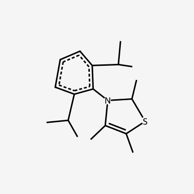 CC1=C(C)N(c2c(C(C)C)cccc2C(C)C)C(C)S1